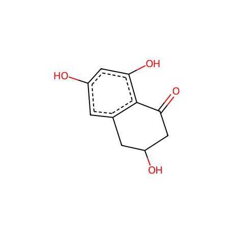 O=C1CC(O)Cc2cc(O)cc(O)c21